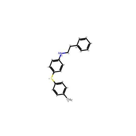 CC(=O)Oc1ccc(Sc2ccc(NCCc3ccccc3)cc2)cc1